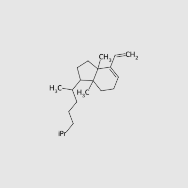 C=CC1=CCCC2(C)C(C(C)CCCC(C)C)CCC12C